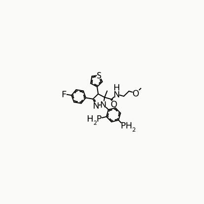 COCCNC(=O)C1(C)C(c2ccsc2)C(c2ccc(F)cc2)=NN1c1ccc(P)cc1P